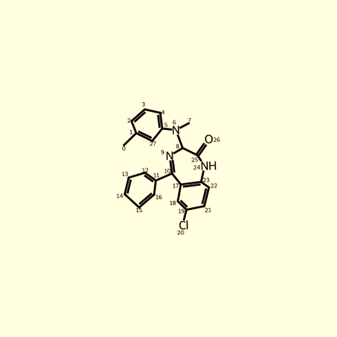 Cc1cccc(N(C)C2N=C(c3ccccc3)c3cc(Cl)ccc3NC2=O)c1